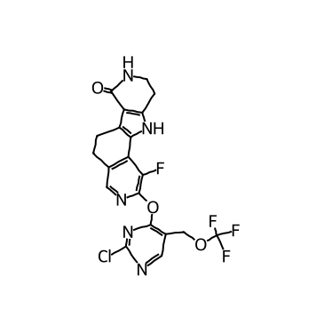 O=C1NCCc2[nH]c3c(c21)CCc1cnc(Oc2nc(Cl)ncc2COC(F)(F)F)c(F)c1-3